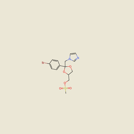 CS(=O)(=O)OCC1COC(Cn2ccnc2)(c2ccc(Br)cc2)O1